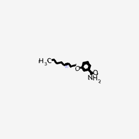 CCCC/C=C/CCOc1cccc(C(N)=O)c1